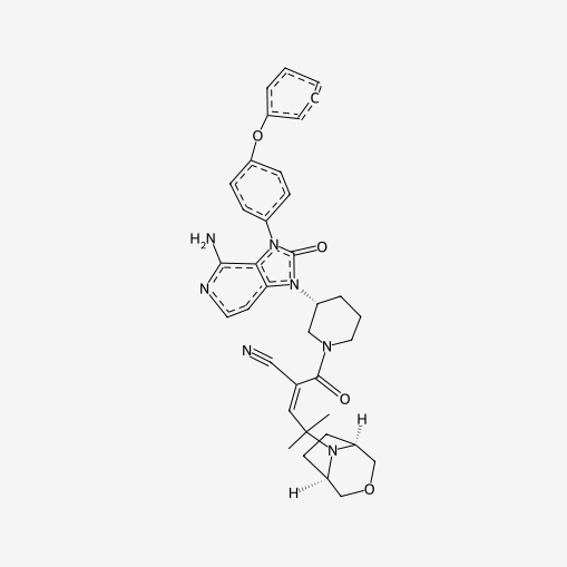 CC(C)(/C=C(/C#N)C(=O)N1CCC[C@@H](n2c(=O)n(-c3ccc(Oc4ccccc4)cc3)c3c(N)nccc32)C1)N1[C@@H]2CC[C@H]1COC2